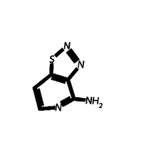 Nc1nccc2snnc12